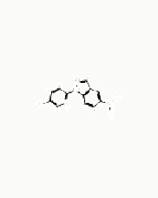 O=[N+]([O-])c1ccc2c(cnn2-c2ccc(Br)cn2)c1